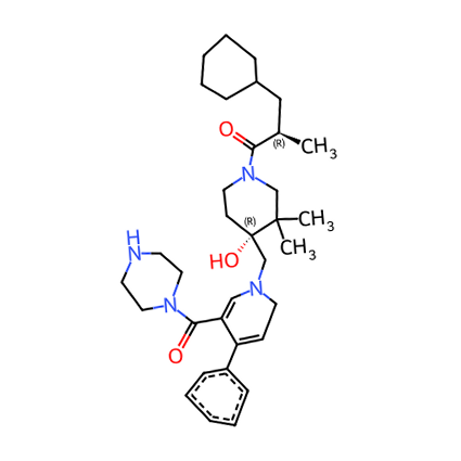 C[C@H](CC1CCCCC1)C(=O)N1CC[C@](O)(CN2C=C(C(=O)N3CCNCC3)C(c3ccccc3)=CC2)C(C)(C)C1